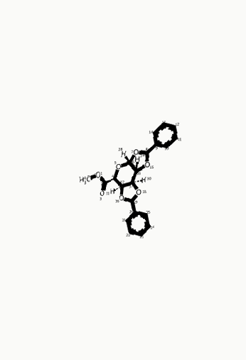 COC(=O)[C@H]1O[C@@H]2OC(c3ccccc3)O[C@@H]2[C@H]2OC(c3ccccc3)O[C@H]21